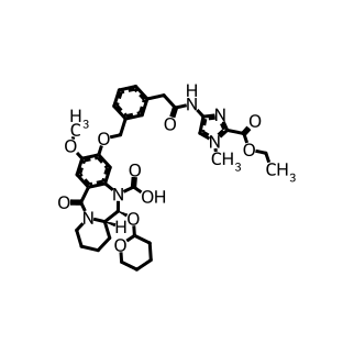 CCOC(=O)c1nc(NC(=O)Cc2cccc(COc3cc4c(cc3OC)C(=O)N3CCCC[C@H]3[C@H](OC3CCCCO3)N4C(=O)O)c2)cn1C